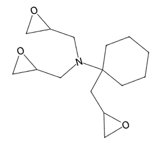 C1CCC(CC2CO2)(N(CC2CO2)CC2CO2)CC1